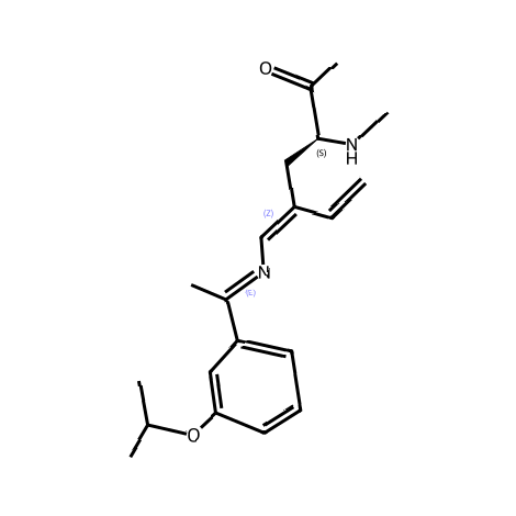 C=C/C(=C\N=C(/C)c1cccc(OC(C)C)c1)C[C@H](NC)C(C)=O